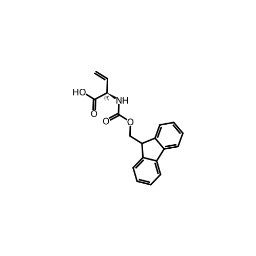 C=C[C@@H](NC(=O)OCC1c2ccccc2-c2ccccc21)C(=O)O